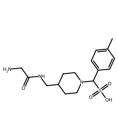 Cc1ccc(C(N2CCC(CNC(=O)CN)CC2)S(=O)(=O)O)cc1